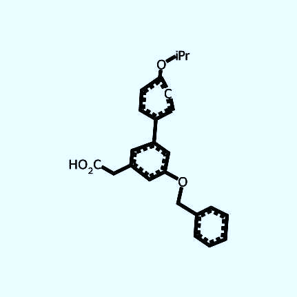 CC(C)Oc1ccc(-c2cc(CC(=O)O)cc(OCc3ccccc3)c2)cc1